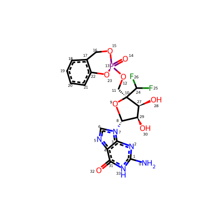 Nc1nc2c(ncn2[C@@H]2O[C@@](COP3(=O)OCc4ccccc4O3)(C(F)F)[C@@H](O)[C@H]2O)c(=O)[nH]1